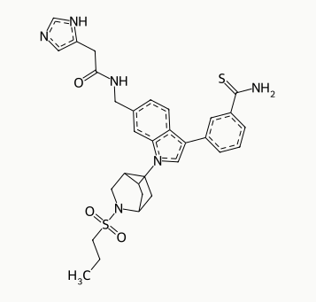 CCCS(=O)(=O)N1CC2CCC1CC2n1cc(-c2cccc(C(N)=S)c2)c2ccc(CNC(=O)Cc3cnc[nH]3)cc21